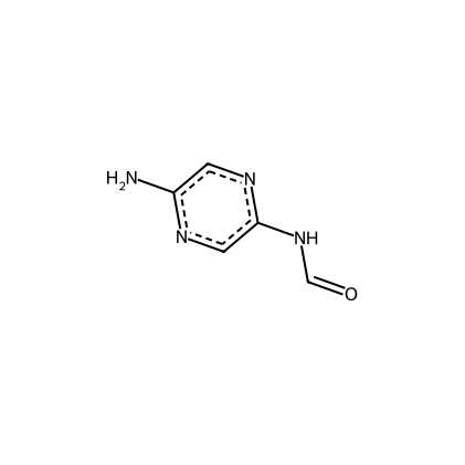 Nc1cnc(NC=O)cn1